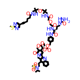 CC[C@@]1(OC(=O)OCc2ccc(NC(=O)[C@H](CCCNC(N)=O)NC(=O)COCC(=O)NCC(C)(C)COCC(C)(C)CNC(=O)CCCC#Cc3cnc(SC)nc3)cc2)C(=O)OCc2c1cc1n(c2=O)Cc2c-1nc1ccccc1c2CCN(C(C)C)S(C)(=O)=O